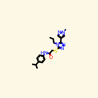 CCCn1c(SCC(=O)Nc2ccc(C(C)C)cc2)nnc1-c1cnn(C)c1